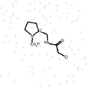 O=C(CCl)NC[C@@H]1CCCN1C(=O)O